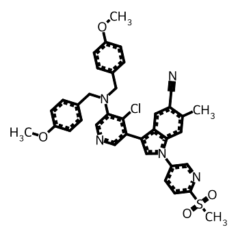 COc1ccc(CN(Cc2ccc(OC)cc2)c2cncc(-c3cn(-c4ccc(S(C)(=O)=O)nc4)c4cc(C)c(C#N)cc34)c2Cl)cc1